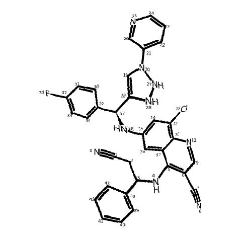 N#CCC(Nc1c(C#N)cnc2c(Cl)cc(N[C@H](C3=CN(c4cccnc4)NN3)c3ccc(F)cc3)cc12)c1ccccc1